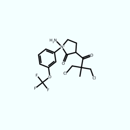 CC(CCl)(CCl)C(=O)C1CC[N+](N)(c2cccc(OC(F)(F)F)c2)C1=O